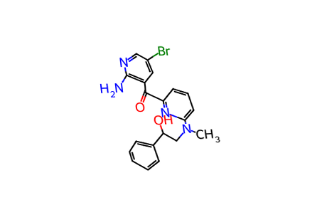 CN(CC(O)c1ccccc1)c1cccc(C(=O)c2cc(Br)cnc2N)n1